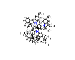 Cc1cc2c(cc1N(c1cc3c4c(c1)-n1c5c(c6cc(C(C)(C)C)cc(c61)B4c1cc(C(C)(C)C)cc4c1N3C1(C)CCCCC41C)-c1ccccc1C5(C)C)c1ccc3c(c1C)C(C)(C)CCC3(C)C)C(C)(C)CCC2(C)C